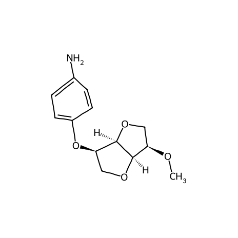 CO[C@@H]1CO[C@H]2[C@@H]1OC[C@H]2Oc1ccc(N)cc1